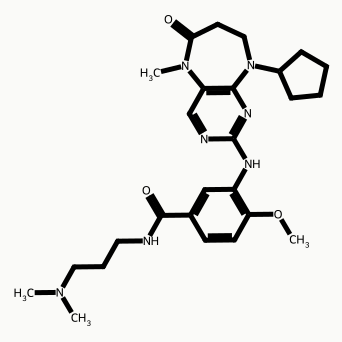 COc1ccc(C(=O)NCCCN(C)C)cc1Nc1ncc2c(n1)N(C1CCCC1)CCC(=O)N2C